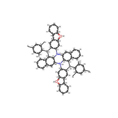 Cc1cc(C)c(B2c3cc4c(cc3N3c5cc6ccccc6c6c5N(c5cc7oc8ccccc8c7cc5B6c5c(C)cc(C)cc5C)c5cc6ccccc6c2c53)oc2ccccc24)c(C)c1